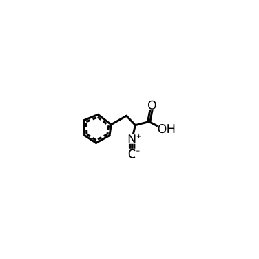 [C-]#[N+]C(Cc1ccccc1)C(=O)O